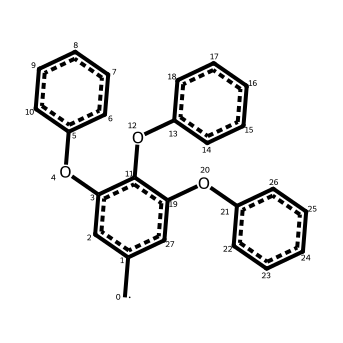 [CH2]c1cc(Oc2ccccc2)c(Oc2ccccc2)c(Oc2ccccc2)c1